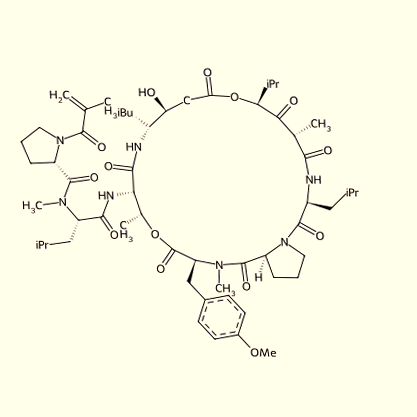 C=C(C)C(=O)N1CCC[C@H]1C(=O)N(C)[C@@H](CC(C)C)C(=O)N[C@@H]1C(=O)N[C@H]([C@@H](C)CC)[C@@H](O)CC(=O)O[C@@H](C(C)C)C(=O)[C@H](C)C(=O)N[C@@H](CC(C)C)C(=O)N2CCC[C@H]2C(=O)N(C)[C@@H](Cc2ccc(OC)cc2)C(=O)O[C@@H]1C